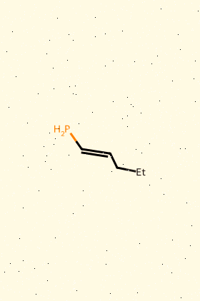 CCCC=CP